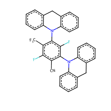 N#Cc1c(F)c(C(F)(F)F)c(N2c3ccccc3Cc3ccccc32)c(F)c1N1c2ccccc2Cc2ccccc21